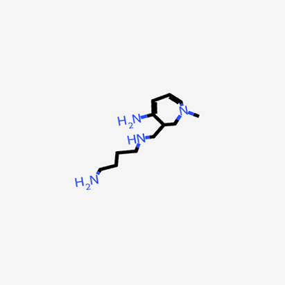 CN1C=CC=C(N)C(CNCCCCN)C1